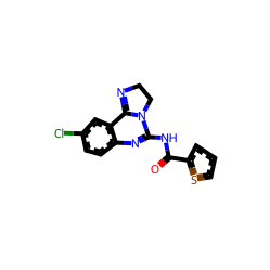 O=C(NC1=Nc2ccc(Cl)cc2C2=NCCN12)c1cccs1